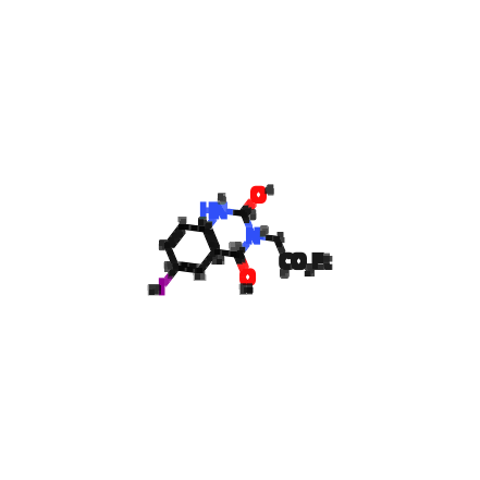 CCOC(=O)Cn1c(=O)[nH]c2ccc(I)cc2c1=O